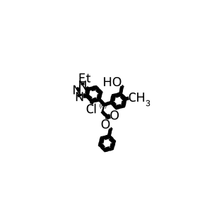 CCn1nnc2c(Cl)c([C@H](CC(=O)OCc3ccccc3)c3ccc(C)c(CO)c3)ccc21